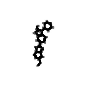 CCc1ccc2oc(-c3ccc4c(c3)nc(C)n4C3CCOCC3)nc2c1